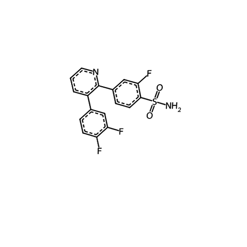 NS(=O)(=O)c1ccc(-c2ncccc2-c2ccc(F)c(F)c2)cc1F